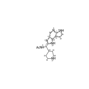 CC(=O)NC(c1nc2cnc3[nH]ccc3c2[nH]1)C1CCNCC1